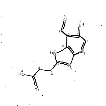 O=Cc1c(O)ccc2nc(SCC(=O)O)[nH]c12